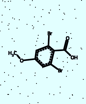 COc1cc(Br)c(C(=O)O)c(Br)c1